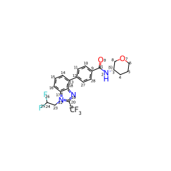 O=C(N[C@H]1CCCOC1)c1ccc(-c2cccc3c2nc(C(F)(F)F)n3CC(F)F)cc1